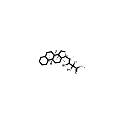 C[C@H](C(O)C(O)(O)C(N)=O)[C@H]1CC[C@H]2[C@@H]3CCC4CCCC[C@]4(C)[C@H]3CC[C@]12C